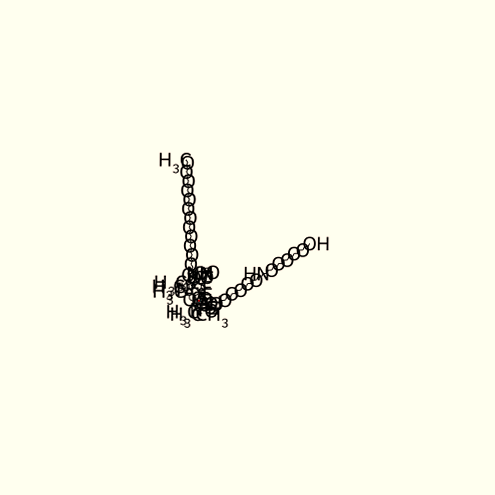 COCCOCCOCCOCCOCCOCCOCCOCCOCCOCCOCCOCCNS(=O)(=O)c1cc2c(s1)-c1cc3c(cc1=[N+](C)C2(C)C)Oc1cc2c(cc1C=3c1c(F)c(SCC(=O)ON3C(=O)CCC3=O)c(F)c(F)c1S(=O)(=O)O)C1SC(S(=O)(=O)COCCOCCOCCOCCOCCOCCNCCOCCOCCOCCOCCOCCO)=CC1C(C)(C)N2C